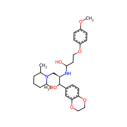 COc1ccc(OCCC(O)N[C@H](CN2C(C)CCCC2C)C(O)c2ccc3c(c2)OCCO3)cc1